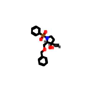 C[C@]1(O)CCN(S(=O)(=O)c2ccccc2)[C@@H]1COCc1ccccc1